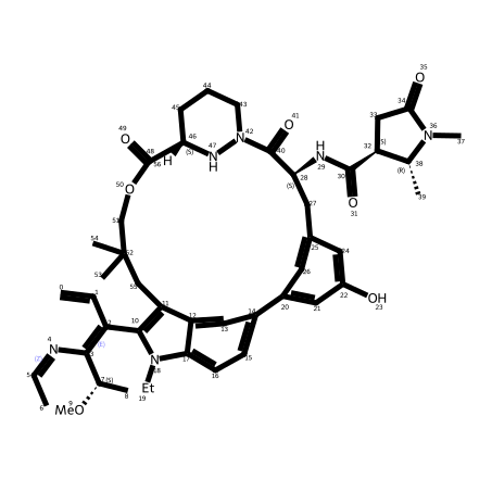 C=C/C(=C(\N=C/C)[C@H](C)OC)c1c2c3cc(ccc3n1CC)-c1cc(O)cc(c1)C[C@H](NC(=O)[C@H]1CC(=O)N(C)[C@@H]1C)C(=O)N1CCC[C@H](N1)C(=O)OCC(C)(C)C2